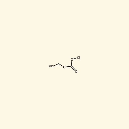 CCCCOC(=O)OCl